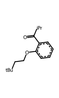 CC(C)C(=O)c1ccccc1OCCC(C)(C)C